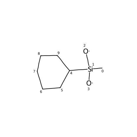 C[Si]([O])([O])C1CCCCC1